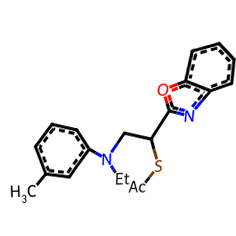 CCN(CC(SC(C)=O)c1nc2ccccc2o1)c1cccc(C)c1